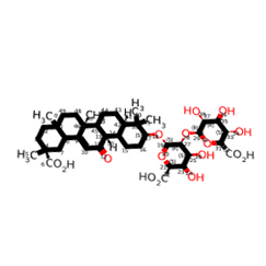 CC12CC[C@](C)(C(=O)O)CC1C1=CC(=O)[C@@H]3C4CC[C@H](O[C@H]5O[C@H](C(=O)O)C(O)[C@H](O)[C@H]5O[C@@H]5OC(C(=O)O)[C@@H](O)C(O)[C@H]5O)C(C)(C)[C@@H]4CCC3[C@]1(C)CC2